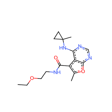 CCOCCNC(=O)c1c(C)oc2ncnc(NC3(C)CC3)c12